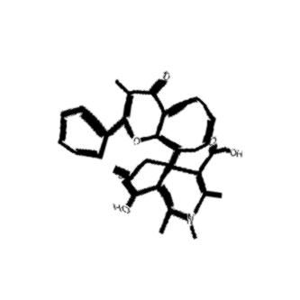 C=CCC1(c2cccc3c(=O)c(C)c(-c4ccccc4)oc23)C(C(=O)O)=C(C)N(C)C(C)=C1C(=O)O